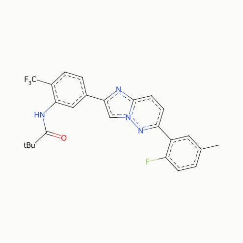 Cc1ccc(F)c(-c2ccc3nc(-c4ccc(C(F)(F)F)c(NC(=O)C(C)(C)C)c4)cn3n2)c1